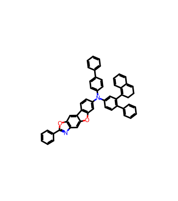 C1=c2ccccc2=C(c2cc(N(c3ccc(-c4ccccc4)cc3)c3ccc4c(c3)oc3cc5nc(-c6ccccc6)oc5cc34)ccc2-c2ccccc2)CC1